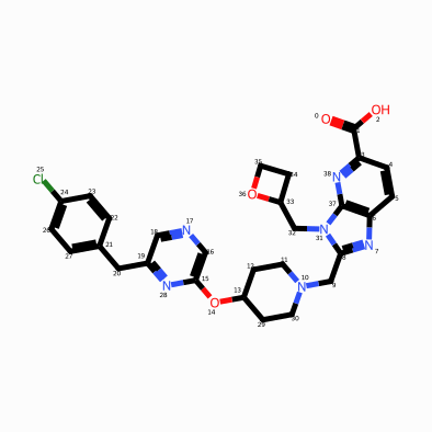 O=C(O)c1ccc2nc(CN3CCC(Oc4cncc(Cc5ccc(Cl)cc5)n4)CC3)n(CC3CCO3)c2n1